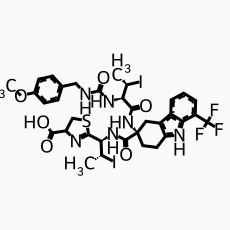 COc1ccc(CNC(=O)N[C@H](C(=O)N[C@]2(C(=O)N[C@H](C3=NC(C(=O)O)CS3)[C@@H](C)I)CCc3[nH]c4c(C(F)(F)F)cccc4c3C2)[C@@H](C)I)cc1